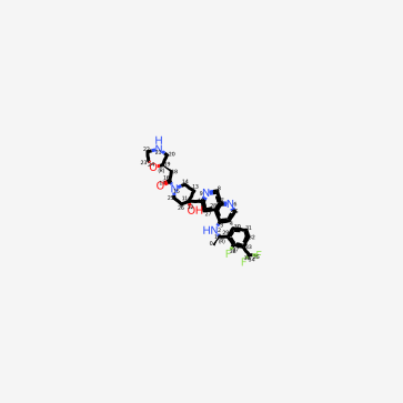 C[C@@H](Nc1ccnc2cnc(C3(O)CCN(C(=O)C[C@@H]4CNCCO4)CC3)cc12)c1cccc(C(F)F)c1F